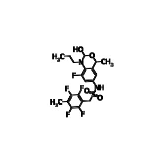 CCCN1c2c(F)cc(NS(=O)(=O)Cc3c(F)c(F)c(C)c(F)c3F)cc2C(C)OC1O